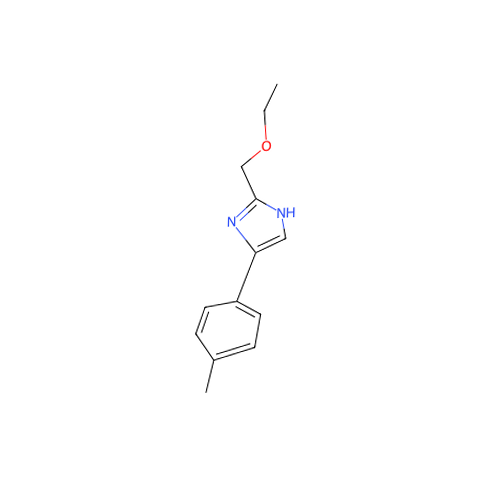 CCOCc1nc(-c2ccc(C)cc2)c[nH]1